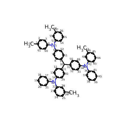 Cc1ccc(N(c2ccc(C(c3ccc(N(c4ccccc4)c4cccc(C)c4)cc3)c3ccc(N(c4ccccc4)c4cccc(C)c4)cc3)cc2)c2cccc(C)c2)cc1